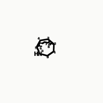 C1CC2CCC(CCS2)N1